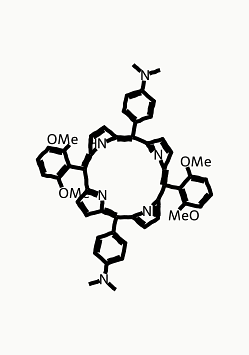 COc1cccc(OC)c1-c1c2nc(c(-c3ccc(N(C)C)cc3)c3ccc([nH]3)c(-c3c(OC)cccc3OC)c3nc(c(-c4ccc(N(C)C)cc4)c4ccc1[nH]4)C=C3)C=C2